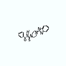 O=C(NC(=S)N1CCN(c2nc3cccccc-3n2)CC1)c1ccccc1